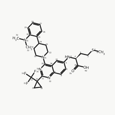 CSCC[C@H](Nc1ccc2nc(C3(C(F)(F)F)CC3)nc(N3CCC(c4ccccc4N(C)C)CC3)c2c1)C(=O)O